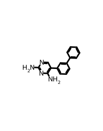 Nc1ncc(-c2cccc(-c3ccccc3)c2)c(N)n1